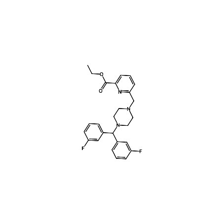 CCOC(=O)c1cccc(CN2CCN(C(c3cccc(F)c3)c3cccc(F)c3)CC2)n1